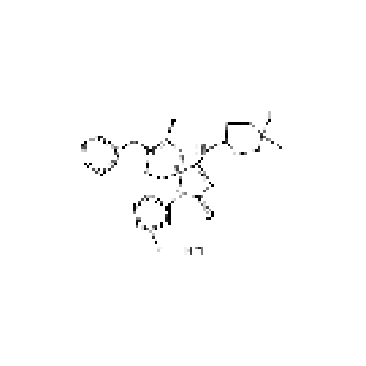 C[C@H]1C[C@]2(CCN1Cc1ccccc1)C(NC1CCC(F)(F)CC1)=NC(=O)N2c1cccc(F)c1.Cl